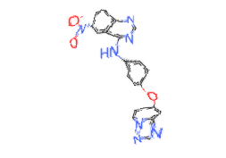 O=[N+]([O-])c1ccc2ncnc(Nc3ccc(Oc4ccn5ncnc5c4)cc3)c2c1